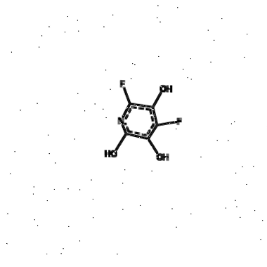 Oc1nc(F)c(O)c(F)c1O